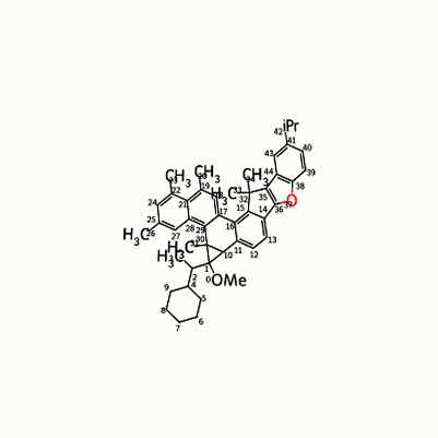 COC1(C(C)C2CCCCC2)C2c3ccc4c(c3-c3cc(C)c5c(C)cc(C)cc5c3C21C)C(C)(C)c1c-4oc2ccc(C(C)C)cc12